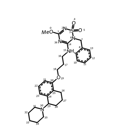 COC1=NS(=O)(=O)N(Cc2ccccc2)C(NCCCOc2cccc3c2CCCC3N2CCCCC2)=N1